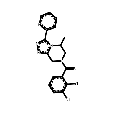 CC1CN(C(=O)c2cccc(Cl)c2Cl)Cc2nnc(-c3ccccn3)n21